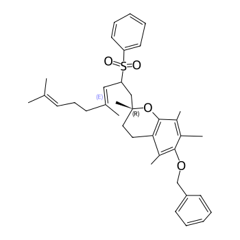 CC(C)=CCC/C(C)=C/C(C[C@@]1(C)CCc2c(C)c(OCc3ccccc3)c(C)c(C)c2O1)S(=O)(=O)c1ccccc1